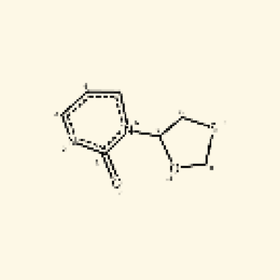 O=c1ncccn1C1CSCO1